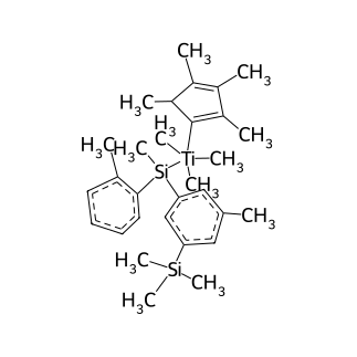 CC1=C(C)C(C)[C]([Ti]([CH3])([CH3])([CH3])[Si](C)(c2cc(C)cc([Si](C)(C)C)c2)c2ccccc2C)=C1C